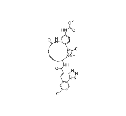 COC(=O)Nc1ccc2c(c1)NC(=O)CCC=CCC(NC(=O)C=Cc1cc(Cl)ccc1-n1cnnn1)c1nc-2c(Cl)[nH]1